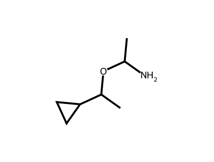 CC(N)OC(C)C1CC1